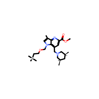 COC(=O)c1cc(CN2C[C@H](C)C[C@H](C)C2)c2c(n1)c(C)cn2COCC[Si](C)(C)C